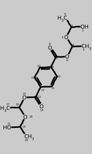 CC(O)OC(C)OC(=O)c1ccc(C(=O)OC(C)OC(C)O)cc1